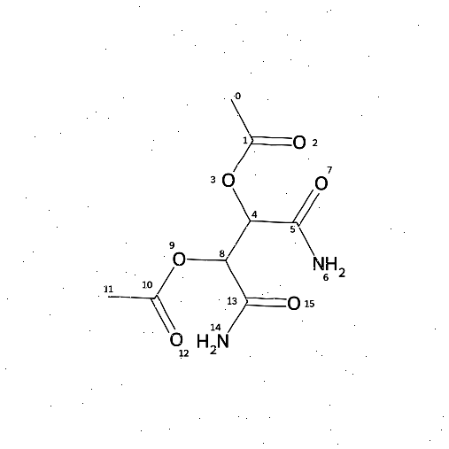 CC(=O)OC(C(N)=O)C(OC(C)=O)C(N)=O